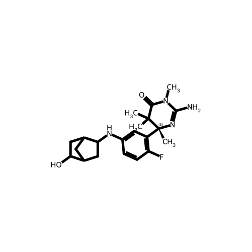 CN1C(=O)C(C)(C)[C@@](C)(c2cc(NC3CC4CC3CC4O)ccc2F)N=C1N